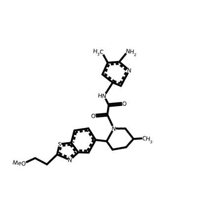 COCCc1nc2cc(C3CCC(C)CN3C(=O)C(=O)Nc3cnc(N)c(C)c3)ccc2s1